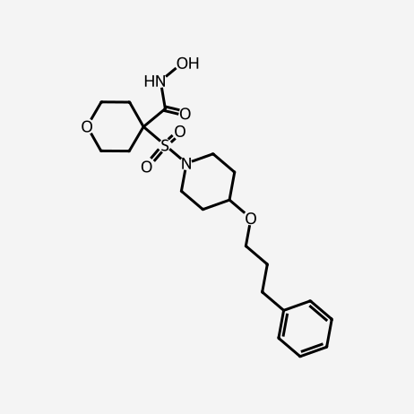 O=C(NO)C1(S(=O)(=O)N2CCC(OCCCc3ccccc3)CC2)CCOCC1